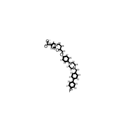 O=[N+]([O-])c1cn2c(n1)OC(COc1ccc(N3CCN(Cc4ccc(-c5ccc(F)cc5)cc4)CC3)cc1)CC2